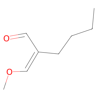 CCCCC(C=O)=COC